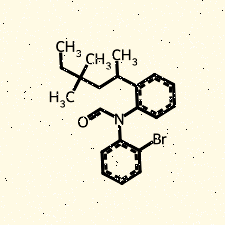 CCC(C)(C)CC(C)c1ccccc1N(C=O)c1ccccc1Br